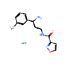 Cl.NC(CCNC(=O)c1ccon1)c1cccc(C(F)(F)F)c1